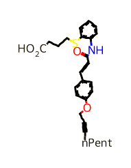 CCCCCC#CCOc1ccc(C=CC(=O)Nc2ccccc2SCCCC(=O)O)cc1